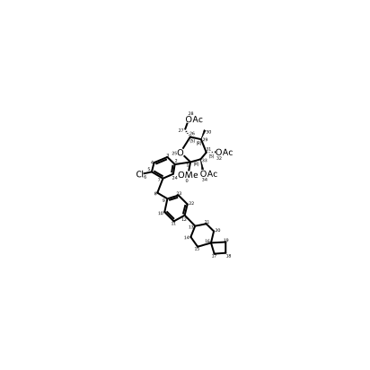 COC1(c2ccc(Cl)c(Cc3ccc(C4CCC5(CCC5)CC4)cc3)c2)O[C@H](COC(C)=O)[C@@H](C)[C@H](OC(C)=O)[C@H]1OC(C)=O